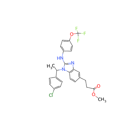 COC(=O)CCc1ccc2c(c1)nc(Nc1ccc(OC(F)(F)F)cc1)n2C(C)c1ccc(Cl)cc1